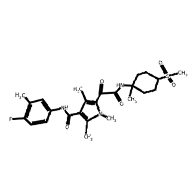 Cc1cc(NC(=O)c2c(C)c(C(=O)C(=O)NC3(C)CCC(S(C)(=O)=O)CC3)n(C)c2C)ccc1F